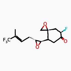 C/C(=C\C[C@H]1O[C@@H]1C1CC(=O)[C@H](F)C[C@]12CO2)C(F)(F)F